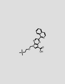 C[Si](C)(C)CCOCn1cc(C(=O)O)c2nc(-c3nccc4ccccc34)cnc21